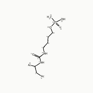 CC(=O)CC(NC(=O)NCCCCOP(C)(=O)O)C(C)=O